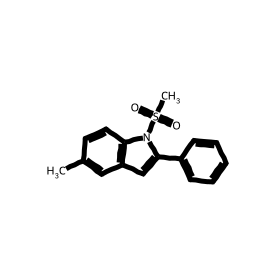 Cc1ccc2c(c1)cc(-c1ccccc1)n2S(C)(=O)=O